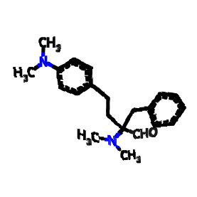 CN(C)c1ccc(CCC(C=O)(Cc2ccccc2)N(C)C)cc1